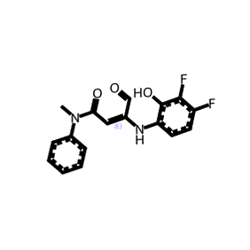 CN(C(=O)/C=C(\C=O)Nc1ccc(F)c(F)c1O)c1ccccc1